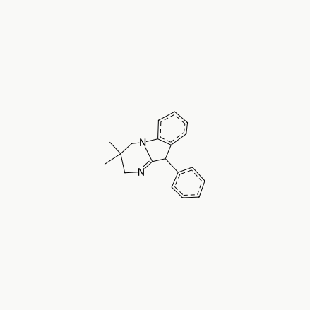 CC1(C)CN=C2C(c3ccccc3)c3ccccc3N2C1